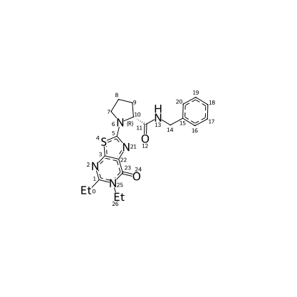 CCc1nc2sc(N3CCC[C@@H]3C(=O)NCc3ccccc3)nc2c(=O)n1CC